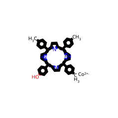 Cc1ccc(-c2c3nc(c(-c4ccc(C)cc4)c4ccc([nH]4)c(-c4ccc(O)cc4)c4nc(c(-c5ccc(C)cc5)c5ccc2[nH]5)C=C4)C=C3)cc1.[Co+2]